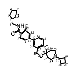 O=C(NC[C@@H]1CCCO1)c1ccc(-c2ccc3c(c2)COC2(CCN(C4CCC4)CC2)O3)cc1F